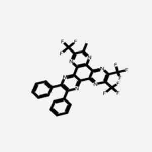 Cc1nc2c(nc1C(F)(F)F)c1nc(-c3ccccc3)c(-c3ccccc3)nc1c1nc(C(F)(F)F)c(C(F)(F)F)nc21